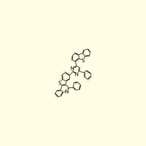 c1ccc(-c2cc(-c3cccc4c3sc3ccccc34)nc(-c3ccc4sc5c6ccccc6nc(-c6ccccc6)c5c4c3)n2)cc1